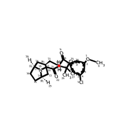 COc1cc(Cl)cc(C(=O)NC[C@H]2C[C@H]3CC[C@@H](C2)N3CC(=O)NC(C)(C)C)c1